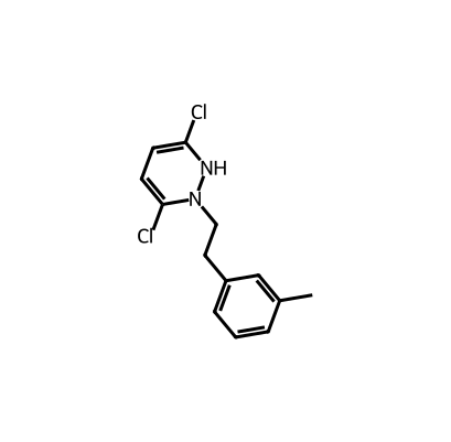 Cc1cccc(CCN2NC(Cl)=CC=C2Cl)c1